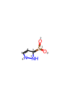 O=S(=O)=C1C=C[N]N1